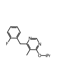 Cc1c(Cc2ccccc2F)ncnc1OC(C)C